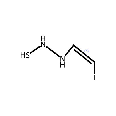 SNN/C=C\I